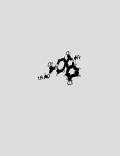 CC(C)N1C(=O)C2(CCN(C(=O)OC(C)(C)C)CC2)c2cc(Cl)ccc21